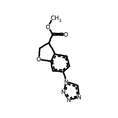 COC(=O)C1COc2cc(-n3cnnn3)ccc21